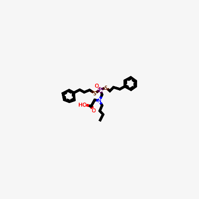 CCCCN(CC(=O)O)CP(=O)(SCCCc1ccccc1)SCCCc1ccccc1